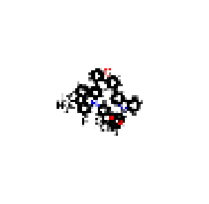 CC1(C)c2ccccc2-c2ccc(N(c3ccc(-c4cccc5oc6ccc(-c7ccc8c(c7)c7ccccc7n8-c7ccccc7)cc6c45)cc3)c3cccc4c3-c3ccccc3C4(C)C)cc21